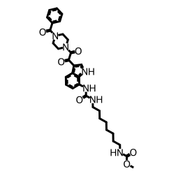 COC(=O)NCCCCCCCCNC(=O)Nc1cccc2c(C(=O)C(=O)N3CCN(C(=O)c4ccccc4)CC3)c[nH]c12